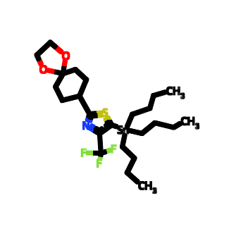 CCC[CH2][Sn]([CH2]CCC)([CH2]CCC)[c]1sc(C2CCC3(CC2)OCCO3)nc1C(F)(F)F